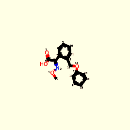 CON=C(C(=O)O)c1ccccc1COc1ccccc1